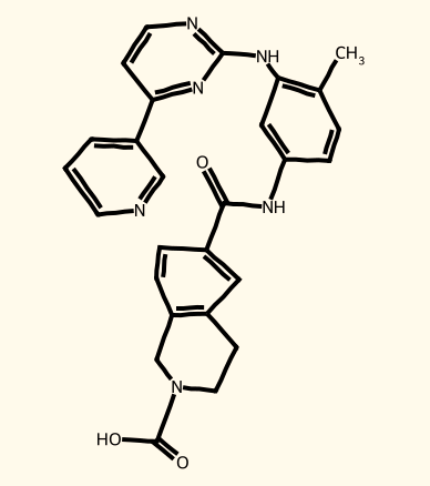 Cc1ccc(NC(=O)c2ccc3c(c2)CCN(C(=O)O)C3)cc1Nc1nccc(-c2cccnc2)n1